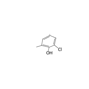 Cc1c[c]cc(Cl)c1O